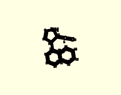 O=C=C1NC=CC1c1cccc2ccccc12